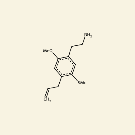 C=CCc1cc(OC)c(CCN)cc1SC